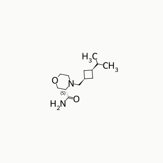 CC(C)[C@H]1C[C@@H](CN2CCOC[C@H]2C(N)=O)C1